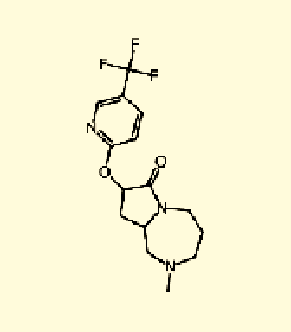 CN1CCCN2C(=O)C(Oc3ccc(C(F)(F)F)cn3)CC2C1